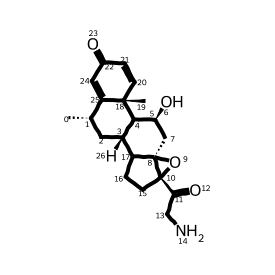 C[C@H]1C[C@@H]2C([C@@H](O)C[C@]34O[C@]3(C(=O)CN)CCC24)[C@@]2(C)C=CC(=O)C=C12